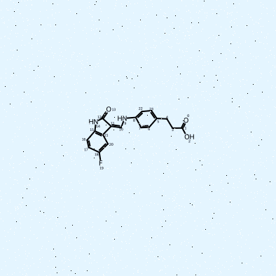 O=C(O)CCc1ccc(NC=C2C(=O)Nc3ccc(F)cc32)cc1